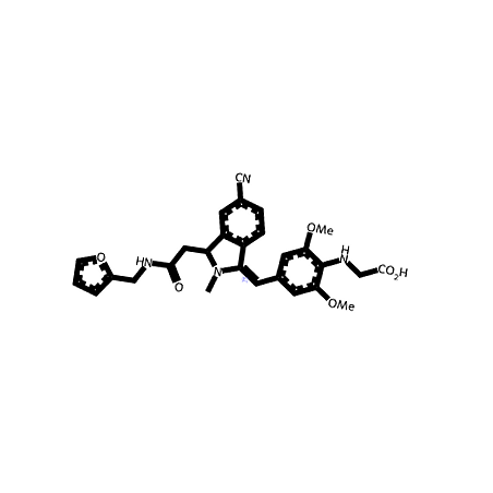 COc1cc(/C=C2\c3ccc(C#N)cc3C(CC(=O)NCc3ccco3)N2C)cc(OC)c1NCC(=O)O